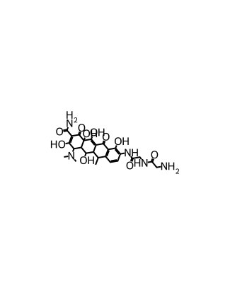 CC1c2ccc(NC(=O)CNC(=O)CN)c(O)c2C(=O)C2=C(O)C3(O)C(=O)C(C(N)=O)=C(O)C(N(C)C)C3C(O)C21